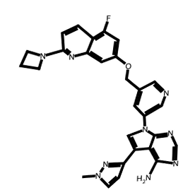 Cn1ccc(-c2cn(-c3cncc(COc4cc(F)c5ccc(N6CCC6)nc5c4)c3)c3ncnc(N)c23)n1